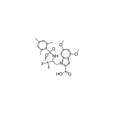 COc1cc(OC)c2cc(C(=O)O)n(CC(NS(=O)(=O)c3c(C)cc(C)cc3C)C(F)(F)F)c2c1